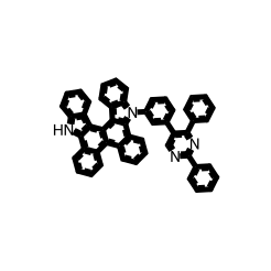 c1ccc(-c2ncc(-c3cccc(-n4c5ccccc5c5c6c(c7ccccc7c7[nH]c8ccccc8c76)c6ccccc6c54)c3)c(-c3ccccc3)n2)cc1